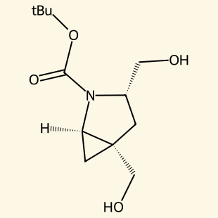 CC(C)(C)OC(=O)N1[C@H](CO)C[C@@]2(CO)C[C@@H]12